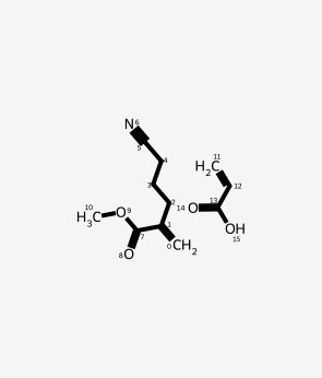 C=C(CCCC#N)C(=O)OC.C=CC(=O)O